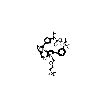 C[Si](C)(C)CCOCn1c(-c2cccc(S(C)(=O)=O)c2)cc2c1ncc1cnc(C3CCC(NC(=O)O)C3)n12